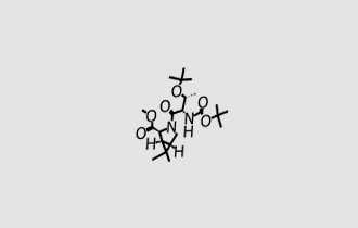 COC(=O)[C@@H]1[C@@H]2[C@H](CN1C(=O)[C@@H](NC(=O)OC(C)(C)C)[C@@H](C)OC(C)(C)C)C2(C)C